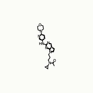 CC(=O)N(CCCn1ccc2cnc(Nc3ccc(N4CCOCC4)nc3)nc21)C1CC1